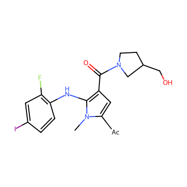 CC(=O)c1cc(C(=O)N2CCC(CO)C2)c(Nc2ccc(I)cc2F)n1C